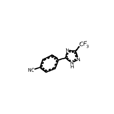 N#Cc1ccc(-c2nc(C(F)(F)F)n[nH]2)cc1